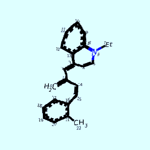 C=C(C=C1C=CN(CC)c2ccccc21)/C=C\c1ccccc1C